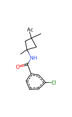 CC(=O)C1(C)CC(C)(NC(=O)c2cccc(Cl)c2)C1